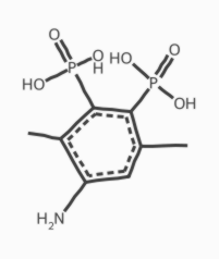 Cc1cc(N)c(C)c(P(=O)(O)O)c1P(=O)(O)O